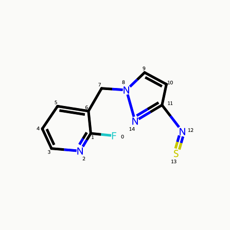 Fc1ncccc1Cn1ccc(N=S)n1